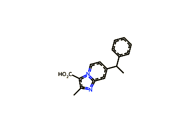 Cc1nc2cc(C(C)c3ccccc3)ccn2c1C(=O)O